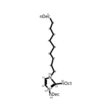 CCCCCCCCCCCCCCCCCCCn1cc[n+](CCCCCCCCCC)c1CCCCCCCC